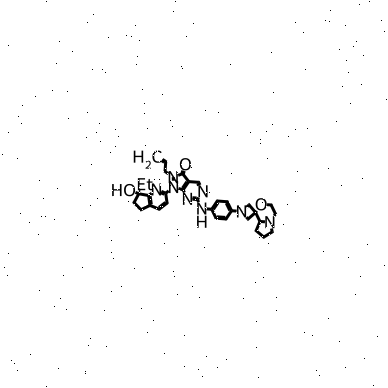 C=CCn1c(=O)c2cnc(Nc3ccc(N4CC5(C4)OCCN4CCCC45)cc3)nc2n1-c1ccc2c(n1)[C@@](O)(CC)CC2